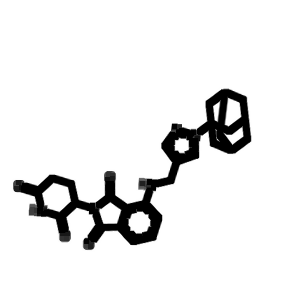 O=C1CCC(N2C(=O)c3cccc(NCc4cnn(C56CC7CC(CC(C7)C5)C6)c4)c3C2=O)C(=O)N1